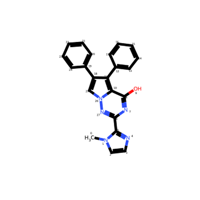 Cn1ccnc1-c1nc(O)c2c(-c3ccccc3)c(-c3ccccc3)cn2n1